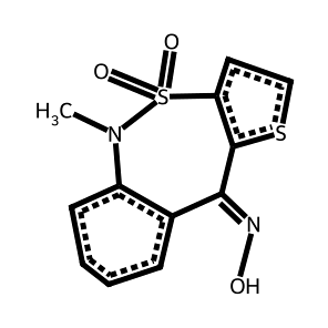 CN1c2ccccc2C(=NO)c2sccc2S1(=O)=O